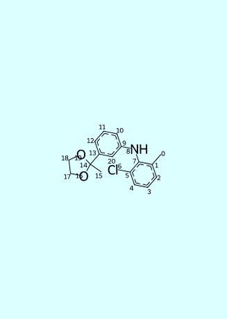 Cc1cccc(Cl)c1Nc1cccc(C2(C)OCCO2)c1